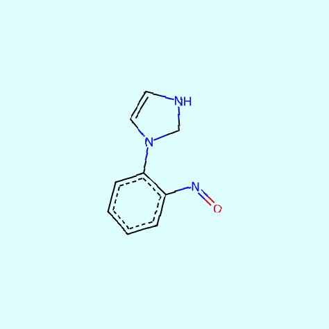 O=Nc1ccccc1N1C=CNC1